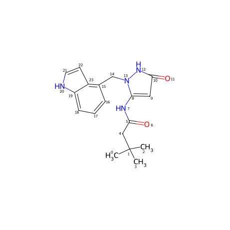 CC(C)(C)CC(=O)Nc1cc(=O)[nH]n1Cc1cccc2[nH]ccc12